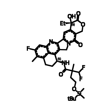 CC[C@@]1(O)C(=O)OCc2c1cc1n(c2=O)Cc2c-1nc1cc(F)c(C)c3c1c2[C@@H](NC(=O)C(C)(CCO[Si](C)(C)C(C)(C)C)C(F)F)CC3